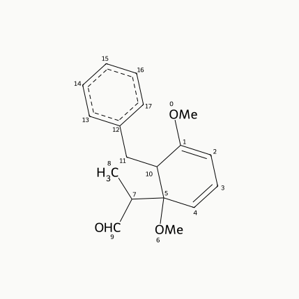 COC1=CC=CC(OC)(C(C)C=O)C1Cc1ccccc1